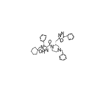 O=C(c1ncn(CC2(O)CCCCC2)c1-c1ccccc1)N1CCN(Cc2ccccc2)C[C@H]1Cc1nnc(-c2ccccc2)o1